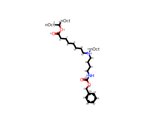 CCCCCCCCC(CCCCCCCC)OC(=O)CCCCCCCN(CCCCCCCC)CCCCNC(=O)OCc1ccccc1